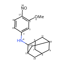 COc1cc(NC2C3CC4CC(C3)CC2C4)ccc1N=O